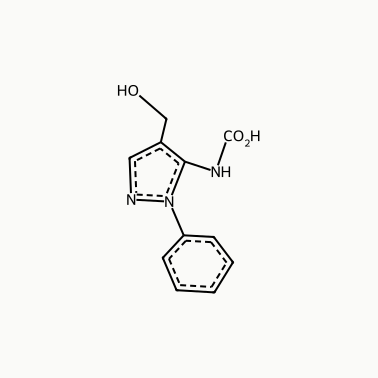 O=C(O)Nc1c(CO)cnn1-c1ccccc1